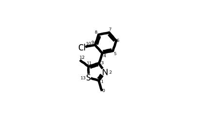 Cc1nc(-c2ccccc2Cl)c(C)s1